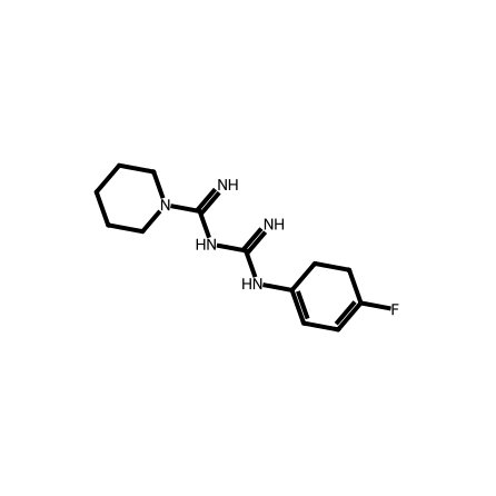 N=C(NC(=N)N1CCCCC1)NC1=CC=C(F)CC1